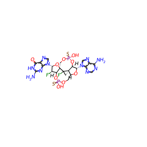 Nc1nc2c(ncn2[C@@H]2O[C@]34CO[P@@](O)(=S)O[C@H]5[C@H](n6cnc7c(N)ncnc76)O[C@H](COP(O)(=S)O[C@H]3[C@H]2F)[C@]52CC24F)c(=O)[nH]1